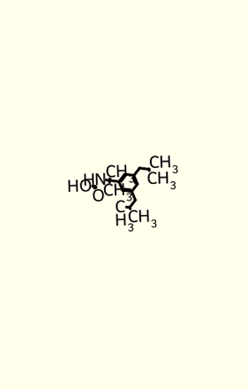 CC(C)Cc1cc(CC(C)C)cc(C(C)(C)NC(=O)O)c1